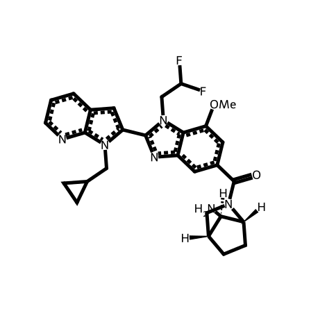 COc1cc(C(=O)N2C[C@H]3CC[C@@H]2[C@@H]3N)cc2nc(-c3cc4cccnc4n3CC3CC3)n(CC(F)F)c12